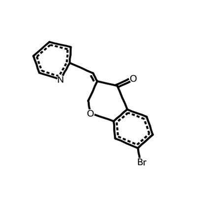 O=C1/C(=C/c2ccccn2)COc2cc(Br)ccc21